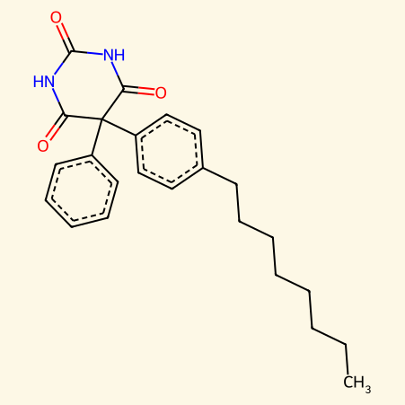 CCCCCCCCc1ccc(C2(c3ccccc3)C(=O)NC(=O)NC2=O)cc1